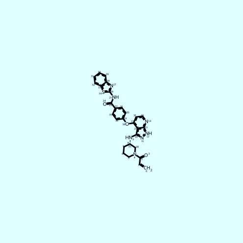 C=CC(=O)N1CCC[C@H](Nc2n[nH]c3nccc(Oc4ccc(C(=O)Nc5nc6ccccc6s5)cc4)c23)C1